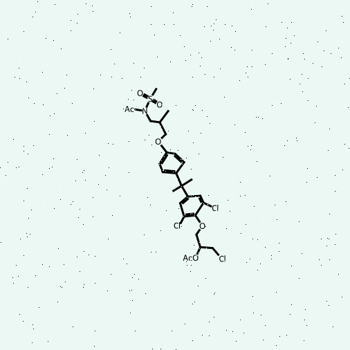 CC(=O)OC(CCl)COc1c(Cl)cc(C(C)(C)c2ccc(OCC(C)CN(C(C)=O)S(C)(=O)=O)cc2)cc1Cl